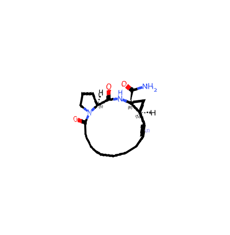 NC(=O)[C@@]12C[C@H]1/C=C\CCCCCCC(=O)N1CCC[C@H]1C(=O)N2